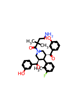 Cc1c(F)cccc1C1[C@@H](C(=O)c2cccc(O)c2)CN(C(=O)C(C)(C)CCN)C[C@@H]1C(=O)c1cccc(O)c1